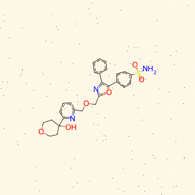 NS(=O)(=O)c1ccc(-c2oc(COCc3cccc(C4(O)CCOCC4)n3)nc2-c2ccccc2)cc1